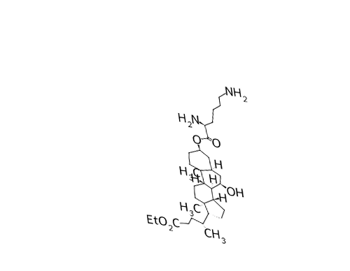 CCOC(=O)CC[C@@H](C)[C@H]1CC[C@H]2[C@@H]3[C@H](O)C[C@@H]4C[C@H](OC(=O)[C@@H](N)CCCCN)CC[C@]4(C)[C@H]3CC[C@]12C